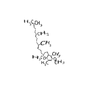 COc1cc(C)c2c(c1C)CCC(C)(CC/C=C(\C)CC/C=C(\C)CCC=C(C)C)O2